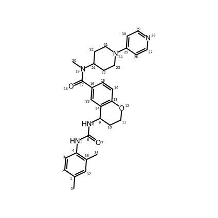 Cc1ccc(NC(=O)NC2CCOc3ccc(C(=O)N(C)C4CCN(c5ccncc5)CC4)cc32)c(C)c1